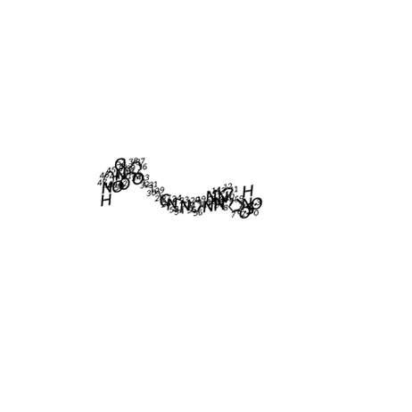 CS(=O)(=O)Nc1cccc(-c2ccc3cnc(Nc4ccc(N5CCN(CCCCCCCCOc6cccc7c6C(=O)N(C6CCCNC6=O)C7=O)CC5)cc4)nn23)c1